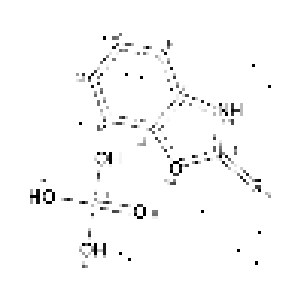 O=P(O)(O)O.S=c1[nH]c2ccccc2o1